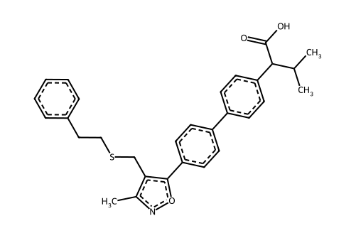 Cc1noc(-c2ccc(-c3ccc(C(C(=O)O)C(C)C)cc3)cc2)c1CSCCc1ccccc1